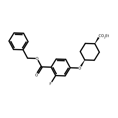 CCOC(=O)[C@H]1CC[C@@H](Oc2ccc(C(=O)OCc3ccccc3)c(F)c2)CC1